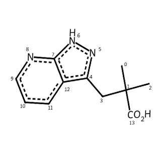 CC(C)(Cc1n[nH]c2ncccc12)C(=O)O